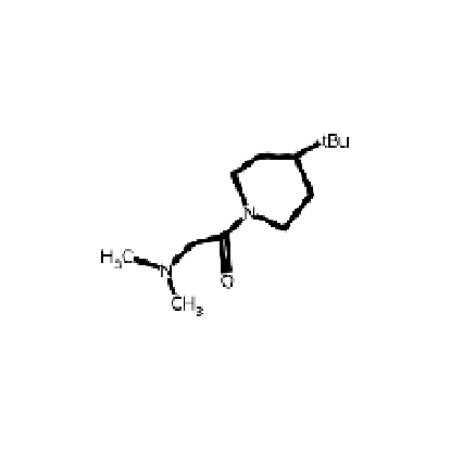 CN(C)CC(=O)N1CCC(C(C)(C)C)CC1